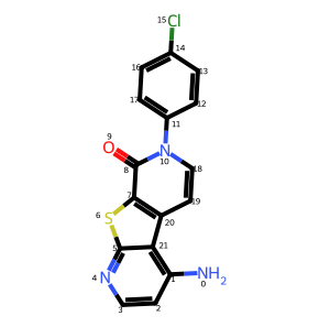 Nc1ccnc2sc3c(=O)n(-c4ccc(Cl)cc4)ccc3c12